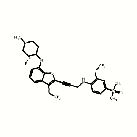 CN1CCC(Nc2cccc3c(CC(F)(F)F)c(C#CCNc4ccc(P(C)(C)=O)cc4OC(F)(F)F)sc23)[C@H](F)C1